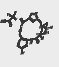 C=C1COCc2ccc(Br)nc2NC(=O)[C@@H]2C[C@]3(C[C@H]3N2)Cn2cc1cn2.O=C(O)C(F)(F)F